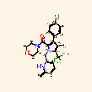 C=C1C=CC=C(Cn2c(C(=O)N3CCOCC3)c(-c3ccc(Cl)cc3)c(C)c2C(F)(F)F)N1